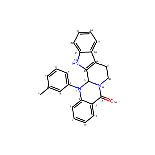 Cc1cccc(N2c3ccccc3C(=O)N3CCc4c([nH]c5ccccc45)C32)c1